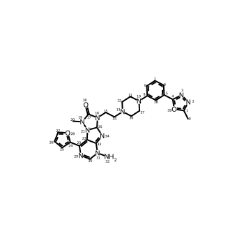 Cc1nnc(-c2cccc(N3CCN(CCN4C(=O)N(C)N5C6=C(c7ccco7)N=CN(N)C6=NC45)CC3)c2)o1